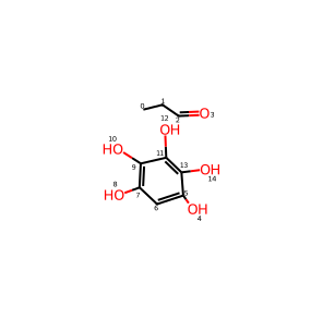 CCC=O.Oc1cc(O)c(O)c(O)c1O